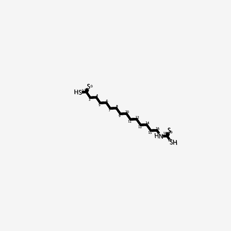 S=C(S)CCCCCCCCCCCCCCNC(=S)S